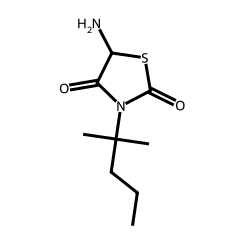 CCCC(C)(C)N1C(=O)SC(N)C1=O